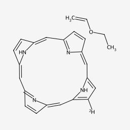 C=COCC.[2H]c1cc2cc3nc(cc4ccc(cc5nc(cc1[nH]2)C=C5)[nH]4)C=C3